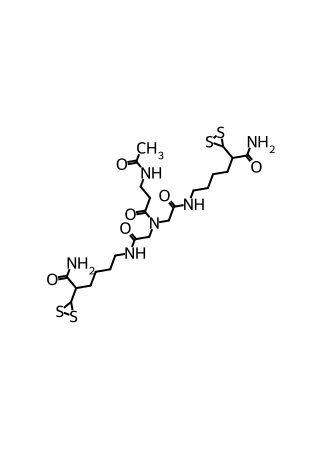 CC(=O)NCCC(=O)N(CC(=O)NCCCCC(C(N)=O)C1SS1)CC(=O)NCCCCC(C(N)=O)C1SS1